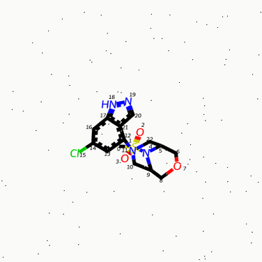 CS(=O)(=O)N1C2COCC1CN(c1cc(Cl)cc3[nH]ncc13)C2